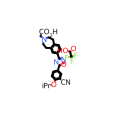 CC(C)Oc1ccc(-c2nc(-c3ccc4c(c3)CCN(CC(=O)O)CC4)no2)cc1C#N.O=C(O)C(F)(F)F